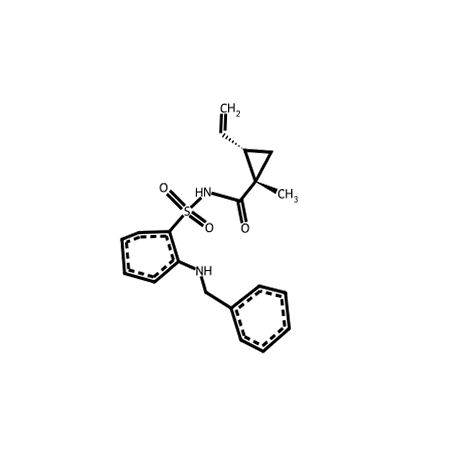 C=C[C@@H]1C[C@]1(C)C(=O)NS(=O)(=O)c1ccccc1NCc1ccccc1